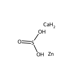 O=S(O)O.[CaH2].[Zn]